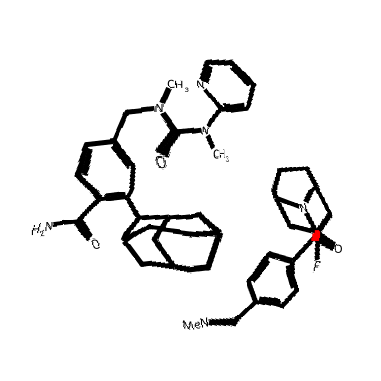 CN(Cc1ccc(C(N)=O)c(C2C3CC4CC(C3)CC2C4)c1)C(=O)N(C)c1ccccn1.CNCc1ccc(C(=O)N2C3CCC2CC(F)C3)cc1